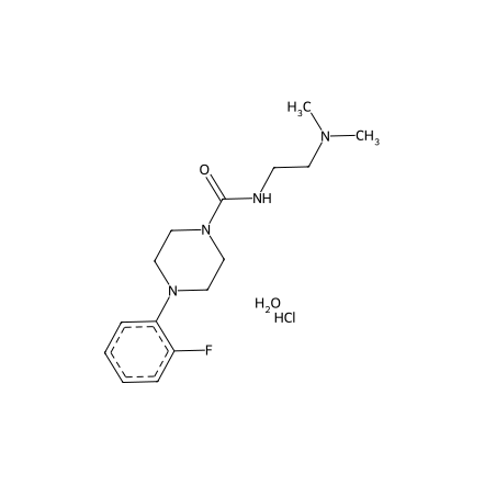 CN(C)CCNC(=O)N1CCN(c2ccccc2F)CC1.Cl.O